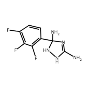 NC1=NC(N)(c2ccc(F)c(F)c2F)NN1